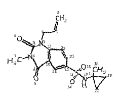 C=CCn1c(=O)n(C)c(=O)c2cc(S(=O)(=O)NC3(C)CC3)ccc21